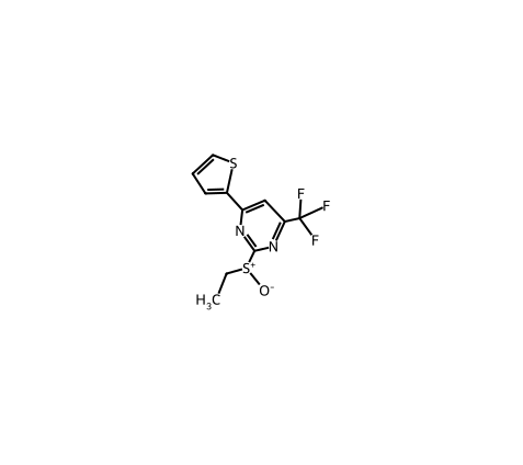 CC[S+]([O-])c1nc(-c2cccs2)cc(C(F)(F)F)n1